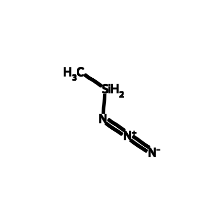 C[SiH2]N=[N+]=[N-]